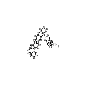 O=S(=O)(Oc1ccc(-c2c3ccccc3cc3cc4nc5c6sc7ccc8ccccc8c7c6ccn5c4cc23)cc1)C(F)(F)F